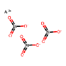 [Al+3].[O]=[Bi](=[O])[O-].[O]=[Bi](=[O])[O-].[O]=[Bi](=[O])[O-]